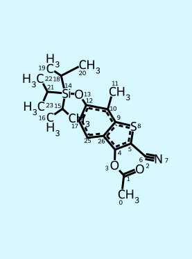 CC(=O)Oc1c(C#N)sc2c(C)c(O[Si](C(C)C)(C(C)C)C(C)C)ccc12